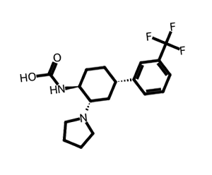 O=C(O)N[C@H]1CC[C@H](c2cccc(C(F)(F)F)c2)C[C@@H]1N1CCCC1